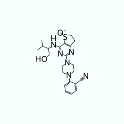 CC(C)C(CO)Nc1nc(N2CCN(c3ccccc3C#N)CC2)nc2c1[S+]([O-])CC2